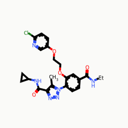 CCNC(=O)c1ccc(-n2nnc(C(=O)NC3CC3)c2C)c(OCCOc2ccc(Cl)nc2)c1